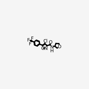 O=C(NC1CCOC1)c1noc(-c2ccc(C(F)(F)F)cc2)c1Cl